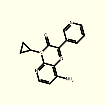 Nc1ccnc2c1nc(-c1cccnc1)c(=O)n2C1CC1